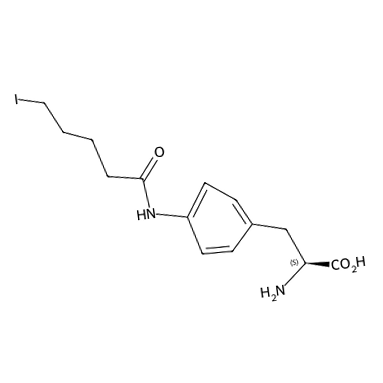 N[C@@H](Cc1ccc(NC(=O)CCCCI)cc1)C(=O)O